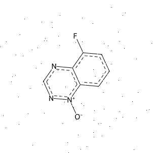 [O-][n+]1ncnc2c(F)cccc21